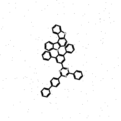 c1ccc(-c2ccc(-c3nc(-c4ccccc4)nc(-c4cc(-c5ccccc5)c(-n5c6ccccc6c6c7c(ccc65)oc5ccccc57)c(-c5ccccc5)c4)n3)cc2)cc1